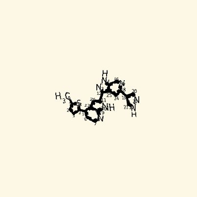 Cc1ccc(-c2ccnc3[nH]c(-c4n[nH]c5cnc(-c6cn[nH]c6)cc45)cc23)s1